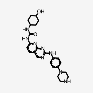 O=C(Nc1ccc2cnc(Nc3ccc(N4CCNCC4)cc3)nc2n1)NC1CCC(O)CC1